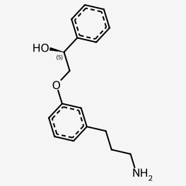 NCCCc1cccc(OC[C@@H](O)c2ccccc2)c1